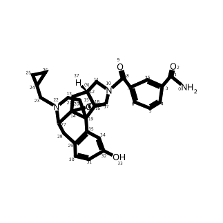 NC(=O)c1cccc(C(=O)N2C[C@H]3CC45CCC2C3C42CCN(CC3CC3)C5Cc3ccc(O)cc32)c1